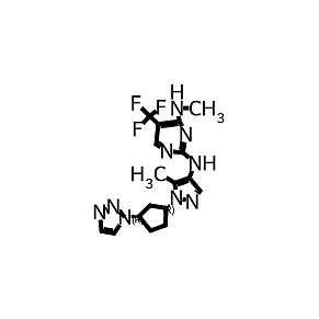 CNc1nc(Nc2cnn([C@@H]3CC[C@@H](n4ccnn4)C3)c2C)ncc1C(F)(F)F